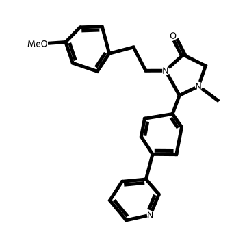 COc1ccc(CCN2C(=O)CN(C)C2c2ccc(-c3cccnc3)cc2)cc1